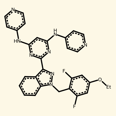 CCOc1cc(F)c(Cn2nc(-c3nc(Nc4ccncc4)cc(Nc4ccncc4)n3)c3ccccc32)c(F)c1